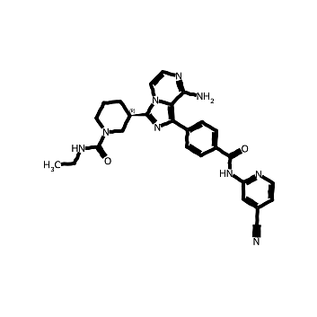 CCNC(=O)N1CCC[C@@H](c2nc(-c3ccc(C(=O)Nc4cc(C#N)ccn4)cc3)c3c(N)nccn23)C1